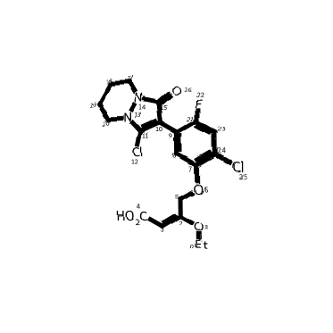 CCO/C(=C/C(=O)O)COc1cc(-c2c(Cl)n3n(c2=O)CCCC3)c(F)cc1Cl